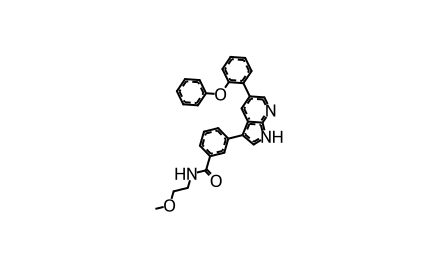 COCCNC(=O)c1cccc(-c2c[nH]c3ncc(-c4ccccc4Oc4ccccc4)cc23)c1